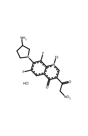 CCn1cc(C(=O)C[N+](=O)[O-])c(=O)c2cc(F)c(N3CCC(N)C3)c(F)c21.Cl